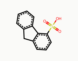 O=S(=O)(O)c1cccc2c1-c1ccccc1C2